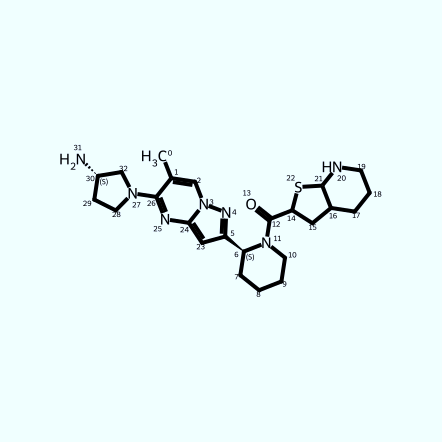 Cc1cn2nc([C@@H]3CCCCN3C(=O)C3CC4CCCNC4S3)cc2nc1N1CC[C@H](N)C1